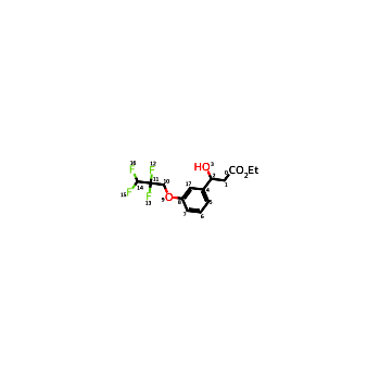 CCOC(=O)CC(O)c1cccc(OCC(F)(F)C(F)F)c1